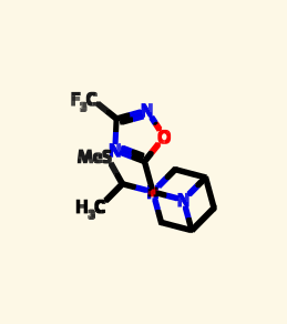 CSC(C)N1CC2CC(C1)N2Cc1nc(C(F)(F)F)no1